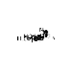 CCOC[C@@]1(O)CC[C@H]2[C@@H](CC[C@@H]3[C@@H]2CC[C@]2(C)[C@@H]([C@@H](CC)Cn4nccc4C#N)CC[C@@H]32)C1